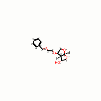 O[C@H]1CO[C@H]2OC[C@H](OCCOCc3ccccc3)[C@H]21